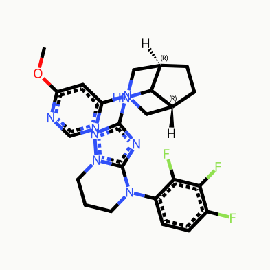 COc1cc(N2C[C@H]3CC[C@H](C2)C3Nc2nc3n(n2)CCCN3c2ccc(F)c(F)c2F)ncn1